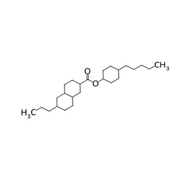 CCCCCC1CCC(OC(=O)C2CCC3CC(CCC)CCC3C2)CC1